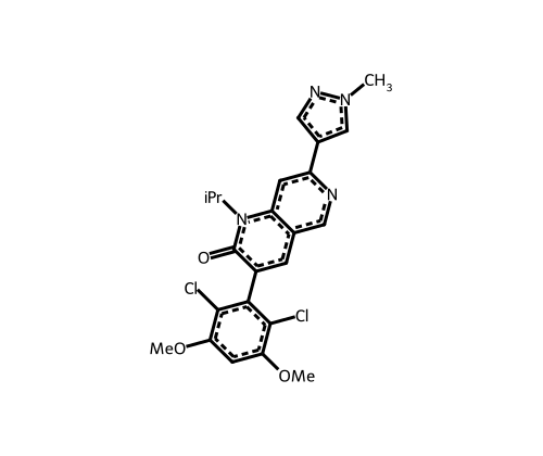 COc1cc(OC)c(Cl)c(-c2cc3cnc(-c4cnn(C)c4)cc3n(C(C)C)c2=O)c1Cl